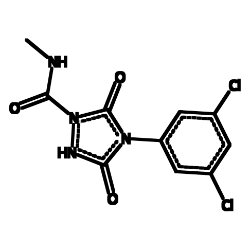 CNC(=O)n1[nH]c(=O)n(-c2cc(Cl)cc(Cl)c2)c1=O